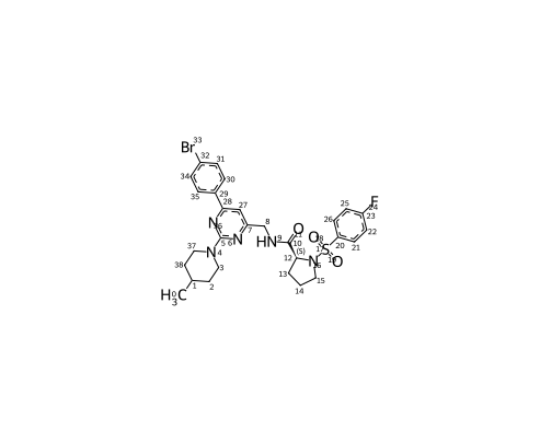 CC1CCN(c2nc(CNC(=O)[C@@H]3CCCN3S(=O)(=O)c3ccc(F)cc3)cc(-c3ccc(Br)cc3)n2)CC1